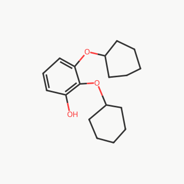 Oc1cccc(OC2CCCCC2)c1OC1CCCCC1